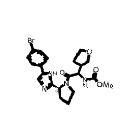 COC(=O)NC(C(=O)N1CCC[C@H]1c1ncc(-c2ccc(Br)cc2)[nH]1)C1CCOC1